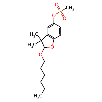 CCCCCCOC1Oc2ccc(OS(C)(=O)=O)cc2C1(C)C